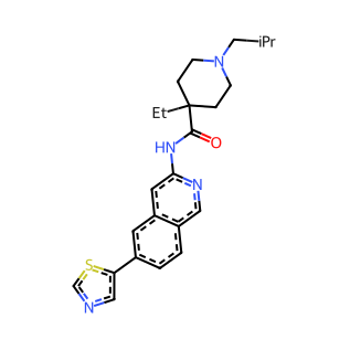 CCC1(C(=O)Nc2cc3cc(-c4cncs4)ccc3cn2)CCN(CC(C)C)CC1